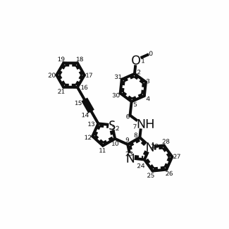 COc1ccc(CNc2c(-c3ccc(C#Cc4ccccc4)s3)nc3ccccn23)cc1